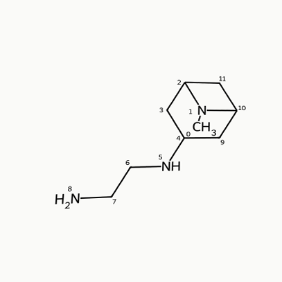 CN1C2CC(NCCN)CC1C2